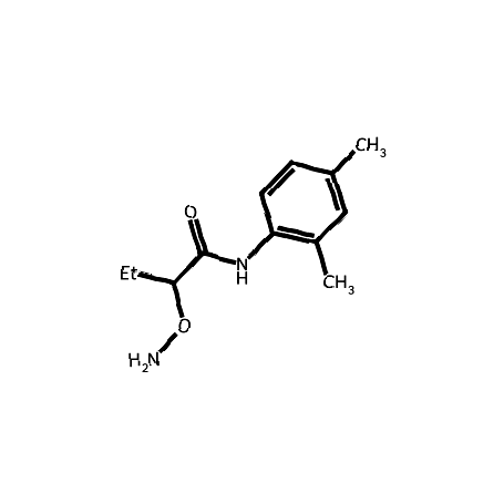 CCC(ON)C(=O)Nc1ccc(C)cc1C